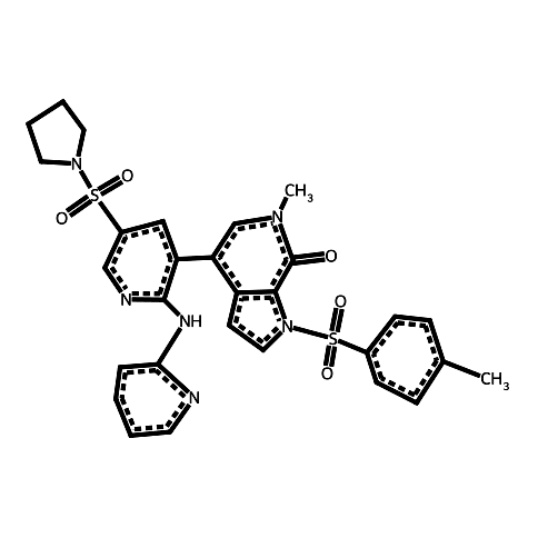 Cc1ccc(S(=O)(=O)n2ccc3c(-c4cc(S(=O)(=O)N5CCCC5)cnc4Nc4ccccn4)cn(C)c(=O)c32)cc1